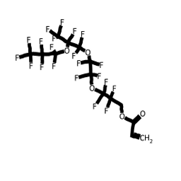 C=CC(=O)OCC(F)(F)C(F)(F)OC(F)(F)C(F)(F)OC(F)(F)C(F)(OC(F)(F)C(F)(F)C(F)(F)F)C(F)(F)F